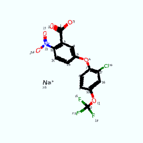 O=C([O-])c1cc(Oc2ccc(OC(F)(F)F)cc2Cl)ccc1[N+](=O)[O-].[Na+]